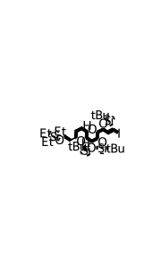 CC[Si](CC)(CC)OCC[C@H]1CC[C@@H]2OC(C(/C=C/I)O[Si](C)(C)C(C)(C)C)C(O[Si](C)(C)C(C)(C)C)C(O[Si](C)(C)C(C)(C)C)[C@H]2O1